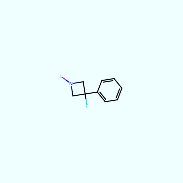 FC1(c2ccccc2)CN(I)C1